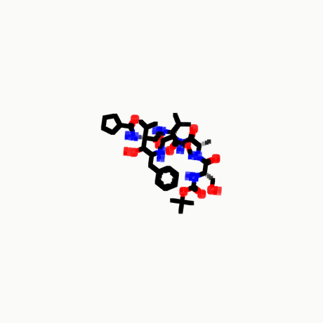 COC(=O)[C@@H](NC(=O)[C@](NC(=O)C1CCCC1)(C(C)C)C(O)C(Cc1ccccc1)NC(=O)[C@H](C)NC(=O)[C@H](C)NC(=O)[C@H](CO)NC(=O)OC(C)(C)C)C(C)C